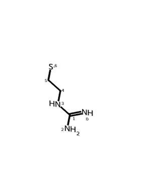 N=C(N)NCC[S]